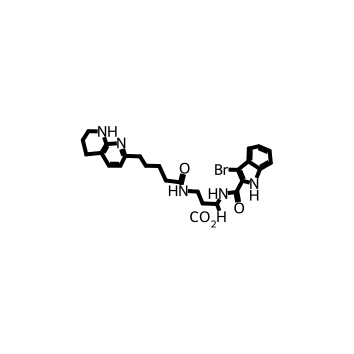 O=C(CCCCc1ccc2c(n1)NCCC2)NCCC(NC(=O)c1[nH]c2ccccc2c1Br)C(=O)O